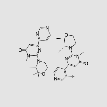 CC1N(c2nc(-c3ccncn3)cc(=O)n2C)CCOC1(C)C.C[C@@H]1[C@@H](C)OCCN1c1nc(-c2ccncc2F)cc(=O)n1C